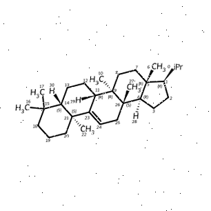 CC(C)[C@H]1CC[C@@H]2[C@]1(C)CC[C@]1(C)[C@H]3CC[C@H]4C(C)(C)CCC[C@]4(C)C3=CC[C@@]21C